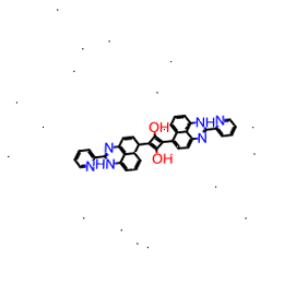 OC1=C(c2ccc3c4c(cccc24)NC(c2ccccn2)=N3)C(O)=C1C1C=CC2=C3C(=CC=CC31)NC(c1ccccn1)=N2